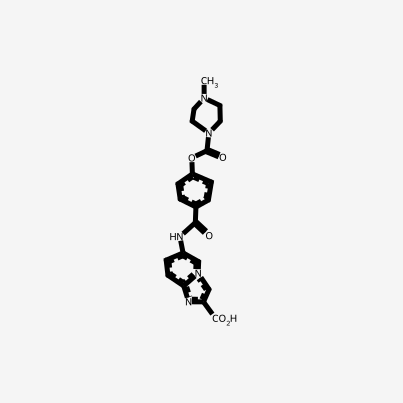 CN1CCN(C(=O)Oc2ccc(C(=O)Nc3ccc4nc(C(=O)O)cn4c3)cc2)CC1